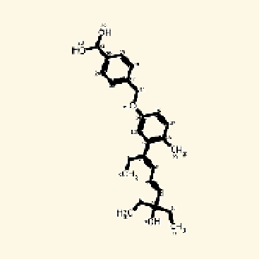 CCC(=CC=CC(O)(CC)CC)c1cc(OCc2ccc(C(O)O)cc2)ccc1C